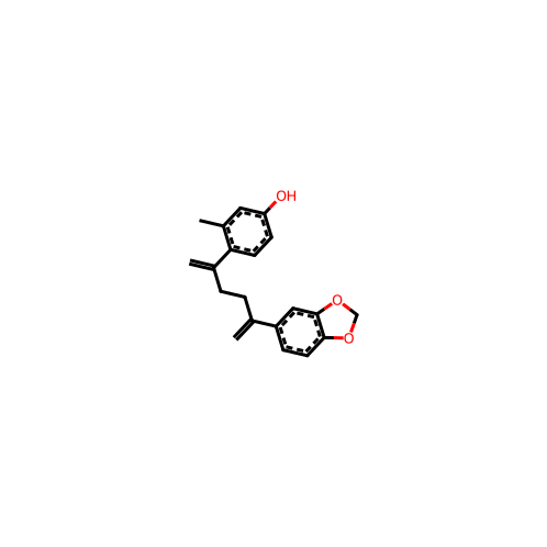 C=C(CCC(=C)c1ccc(O)cc1C)c1ccc2c(c1)OCO2